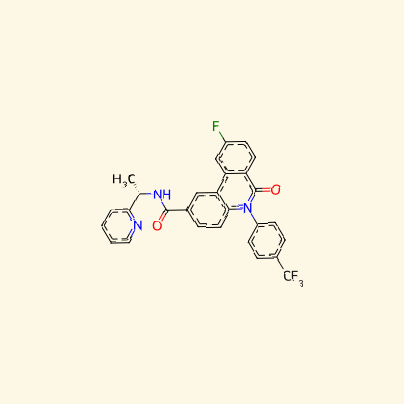 C[C@H](NC(=O)c1ccc2c(c1)c1cc(F)ccc1c(=O)n2-c1ccc(C(F)(F)F)cc1)c1ccccn1